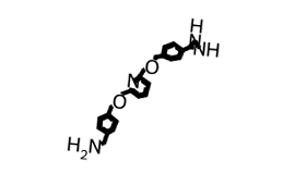 NCc1ccc(COCc2cccc(COCc3ccc(C4NN4)cc3)n2)cc1